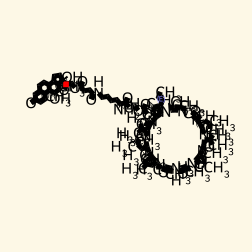 C/C=C/C[C@@H](C)C(OC(=O)OCOC(=O)[C@H](N)CCCCNC(=O)CCC(=O)OCC(=O)[C@@]1(O)CCC2C3CCC4=CC(=O)C=C[C@]4(C)C3[C@@H](O)C[C@@]21C)C1C(=O)NC(CC)C(=O)N(C)CC(=O)N(C)[C@@H](CC(C)C)C(=O)NC(C(C)C)C(=O)N(C)C(CC(C)C)C(=O)NC(C)C(=O)NC(C)C(=O)N(C)C(CC(C)C)C(=O)N(C)C(CC(C)C)C(=O)N(C)C(C(C)C)C(=O)N1C